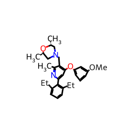 CCc1cccc(CC)c1-c1cc(Oc2cccc(OC)c2)c(CN2C[C@@H](C)O[C@H](C)C2)c(C)n1